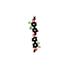 CCOc1ccc(C2=CCC(OCc3ccc(-c4ccc(OCC)c(F)c4F)c(F)c3)CC2)c(F)c1F